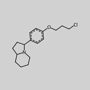 ClCCCOc1ccc(C2CCC3CCCCN32)cc1